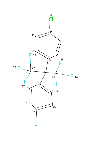 Fc1ccc(C(c2ccc(Cl)cc2)(C(F)(F)F)C(F)(F)F)cc1